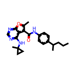 CCCC(C)c1ccc(NC(=O)c2c(C)oc3ncnc(NC4(C)CC4)c23)cc1